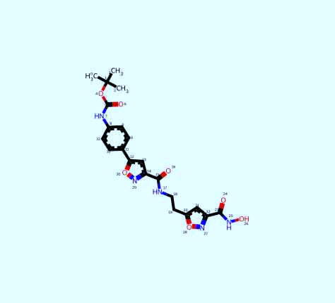 CC(C)(C)OC(=O)Nc1ccc(-c2cc(C(=O)NCCc3cc(C(=O)NO)no3)no2)cc1